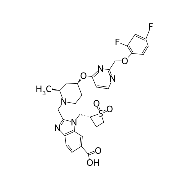 C[C@H]1C[C@@H](Oc2ccnc(COc3ccc(F)cc3F)n2)CCN1Cc1nc2ccc(C(=O)O)cc2n1C[C@H]1CCS1(=O)=O